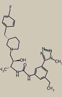 CCc1cc(NC(=O)N[C@H](C)[C@H](O)CN2CCC[C@@H](Cc3ccc(F)cc3)C2)cc(-c2nnnn2C)c1